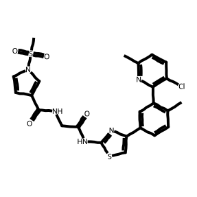 Cc1ccc(Cl)c(-c2cc(-c3csc(NC(=O)CNC(=O)c4ccn(S(C)(=O)=O)c4)n3)ccc2C)n1